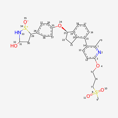 Cc1nc(OCCCS(C)(=O)=O)ccc1-c1cccc2c1CC[C@H]2Oc1ccc(C2CC(O)N[S+]2[O-])cc1